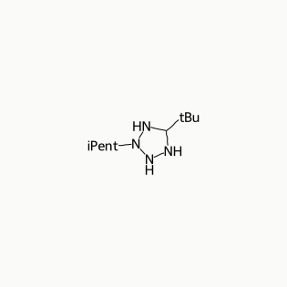 CCCC(C)N1NNC(C(C)(C)C)N1